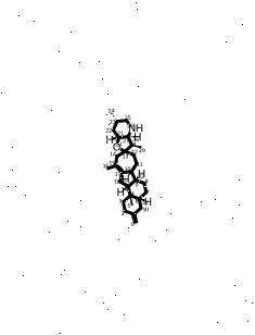 C=C1CC[C@@]2(C)[C@H](CC[C@H]3[C@@H]4CCC5(CC(C)=C4C[C@@H]32)O[C@@H]2C[C@H](C)CN[C@H]2[C@H]5C)C1